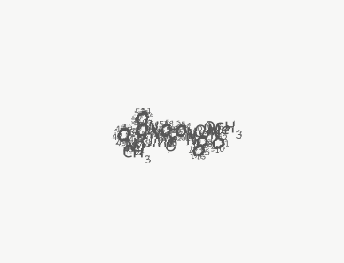 COc1c(C(=O)N(C)c2ccccc2)cc2ccccc2c1N=Nc1ccc2c(c1)C(=O)c1cc(N=Nc3c(OC)c(C(=O)N(C)c4ccccc4)cc4ccccc34)ccc1-2